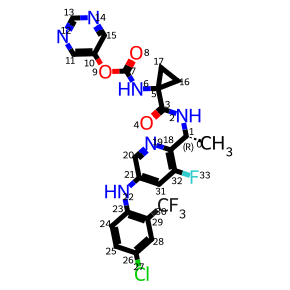 C[C@@H](NC(=O)C1(NC(=O)Oc2cncnc2)CC1)c1ncc(Nc2ccc(Cl)cc2C(F)(F)F)cc1F